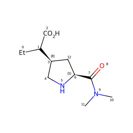 CCC(C(=O)O)[C@@H]1CN[C@H](C(=O)N(C)C)C1